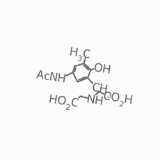 CC(=O)Nc1cc(C)c(O)c(C)c1.O=C(O)CNCC(=O)O